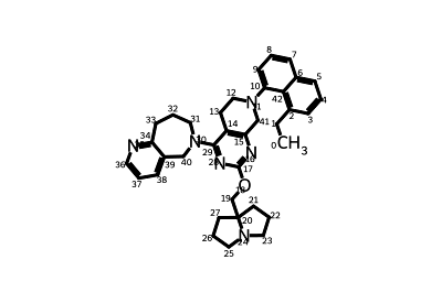 CCc1cccc2cccc(N3CCc4c(nc(OCC56CCCN5CCC6)nc4N4CCCc5ncccc5C4)C3)c12